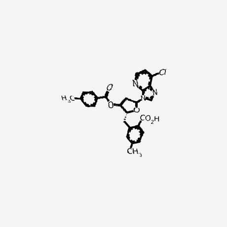 Cc1ccc(C(=O)OC2CC(n3cnc4c(Cl)ccnc43)O[C@@H]2Cc2cc(C)ccc2C(=O)O)cc1